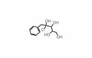 OCC(O)C(O)C(O)(Cl)Cc1ccccc1